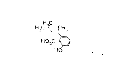 C=C(C)CC(C)c1cccc(O)c1C(=O)O